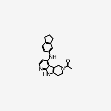 CC(=O)N1CCc2[nH]c3nccc(Nc4ccc5c(c4)CCC5)c3c2C1